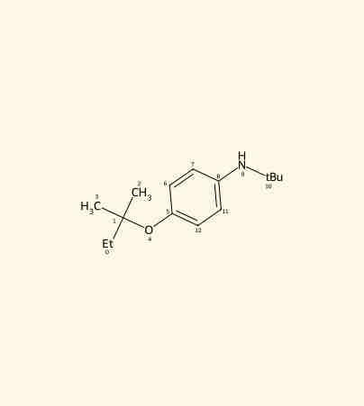 CCC(C)(C)Oc1ccc(NC(C)(C)C)cc1